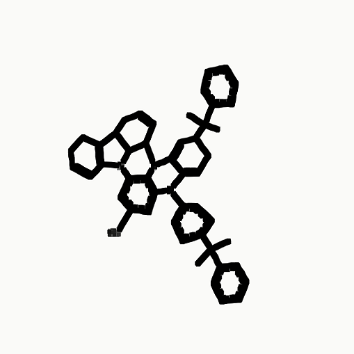 CC(C)(C)c1cc2c3c(c1)N1C4=C(CCC=C4)C4CC=CC(B3C3=CC(C(C)(C)c5ccccc5)CC=C3N2c2ccc(C(C)(C)c3ccccc3)cc2)C41